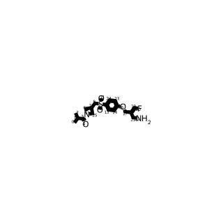 CC(C)C(=O)N1CC(CS(=O)(=O)c2ccc(OCC(=CF)CN)cc2)C1